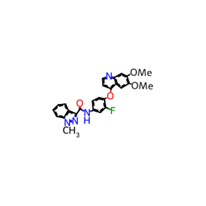 COc1cc2nccc(Oc3ccc(NC(=O)c4nn(C)c5ccccc45)cc3F)c2cc1OC